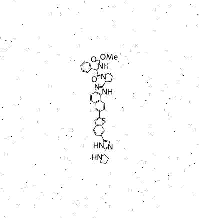 COC(=O)N[C@@H](C(=O)N1CCC[C@H]1c1nc2ccc3cc(-c4cc5ccc(-c6cnc([C@@H]7CCCN7)[nH]6)cc5s4)ccc3c2[nH]1)c1ccccc1